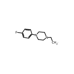 [CH2]CN1CCN(c2ccc(F)cc2)CC1